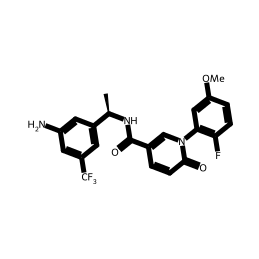 COc1ccc(F)c(-n2cc(C(=O)N[C@H](C)c3cc(N)cc(C(F)(F)F)c3)ccc2=O)c1